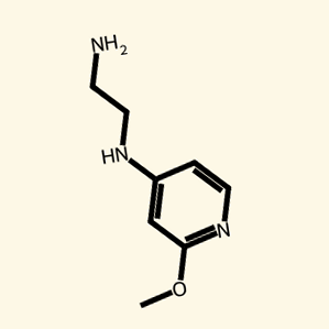 COc1cc(NCCN)ccn1